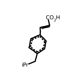 CC(C)Cc1ccc(C=CC(=O)O)cc1